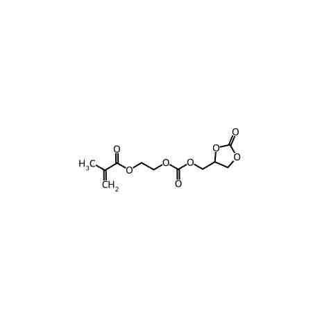 C=C(C)C(=O)OCCOC(=O)OCC1COC(=O)O1